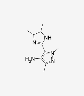 Cc1nn(C)c(C2=NC(C)C(C)N2)c1N